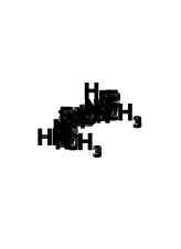 Cc1ncc(NC(=O)Cc2cc(F)c(-c3cnc4[nH]nc(C)c4c3)cc2F)cc1C(F)(F)F